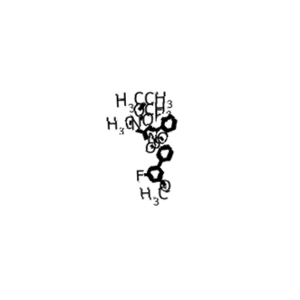 COc1cc(F)cc(-c2cccc(S(=O)(=O)n3cc(CN(C)C(=O)OC(C)(C)C)cc3-c3ccccc3F)c2)c1